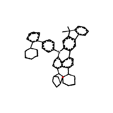 CC1(C)c2ccccc2-c2cc(-c3ccc(C4CCCCC4)cc3)c(N(c3ccc(-c4ccccc4C4CCCCC4)cc3)c3ccc(C4CC5CCC4C5)cc3)cc21